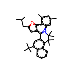 Cc1cc(C)c2c3oc(CC(C)C)cc3c3[n+](c2c1)C(C)(C)C(C)(C)c1c-3cc(C(C)(C)C)c2ccccc12